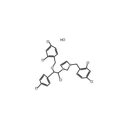 Cl.Clc1ccc(C(OCc2ccc(Cl)cc2Cl)C(Cl)N2C=CN(Cc3ccc(Cl)cc3Cl)C2)cc1